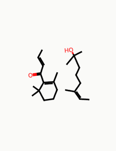 C/C=C/C(=O)C1=C(C)CCCC1(C)C.CC=C(C)CCCC(C)(C)O